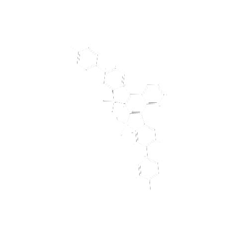 Cc1ccc(-c2ccc3c(c2)[Si](C)(C)c2c4c(c5ccccc5c2-3)-c2ccc(-c3ccc(C)cc3)cc2[Si]4(C)C)cc1